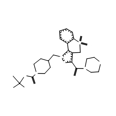 C=C(c1nn(CC2CCN(C(=O)OC(C)(C)C)CC2)c2c1CS(=O)(=O)c1ccccc1-2)N1CCOCC1